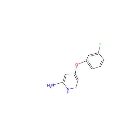 NC1=CC(Oc2cccc(F)c2)=CCN1